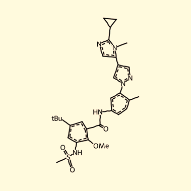 COc1c(NS(C)(=O)=O)cc(C(C)(C)C)cc1C(=O)Nc1ccc(C)c(-n2cc(-c3cnc(C4CC4)n3C)cn2)c1